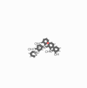 O=Cc1ccccc1O.O=Cc1ccccc1O.O=Cc1ccccc1O.O=Cc1ccccc1O.c1ccnnc1